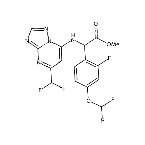 COC(=O)C(Nc1cc(C(F)F)nc2ncnn12)c1ccc(OC(F)F)cc1F